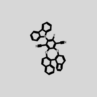 N#Cc1c(F)c(-n2c3ccccc3c3ccccc32)c(C#N)c2oc3ccc4ccccc4c3c3c(ccc4ccccc43)oc12